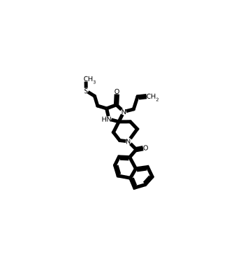 C=CCN1C(=O)C(CCSC)NC12CCN(C(=O)c1cccc3ccccc13)CC2